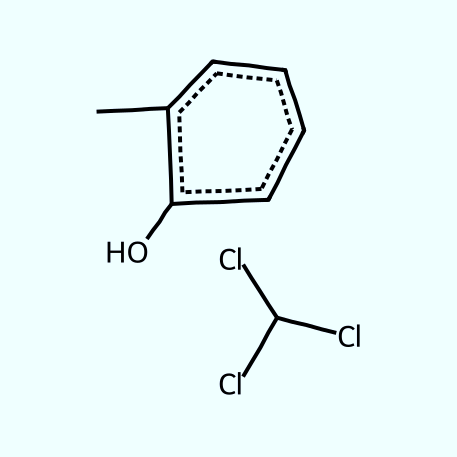 Cc1ccccc1O.ClC(Cl)Cl